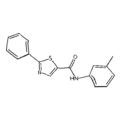 Cc1cccc(NC(=O)c2cnc(-c3ccccc3)s2)c1